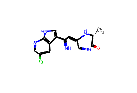 C[C@H](C=O)N/C(C=N)=C/C(=N)c1c[nH]c2ncc(Cl)cc12